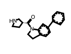 O=C([C@@H]1CCNC1)N1CCc2ccc(-c3ccccc3)cc21